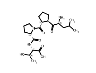 CC(C)C[C@H](N)C(=O)N1CCC[C@H]1C(=O)N1CCC[C@H]1C(=O)N[C@H](C(=O)O)[C@@H](C)O